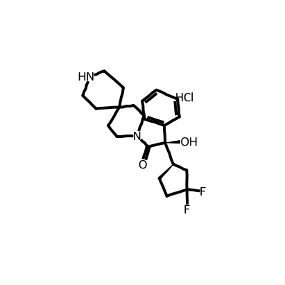 Cl.O=C(N1CCC2(CCNCC2)CC1)[C@](O)(c1ccccc1)[C@@H]1CCC(F)(F)C1